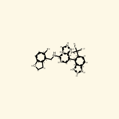 Fc1ccc2c(c1CNc1ncc(-c3c(C(F)(F)F)ccc4nsnc34)c3nncn13)CCO2